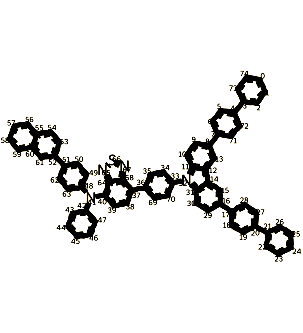 c1ccc(-c2ccc(-c3ccc4c(c3)c3cc(-c5ccc(-c6ccccc6)cc5)ccc3n4-c3ccc(-c4ccc(N(c5ccccc5)c5ccc(-c6ccc7ccccc7c6)cc5)c5nsnc45)cc3)cc2)cc1